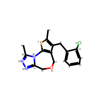 Cc1sc2c(c1Cc1ccccc1Cl)COCc1nnc(C)n1-2